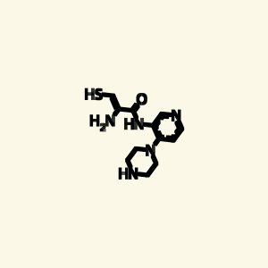 N/C(=C\S)C(=O)Nc1cnccc1N1CCNCC1